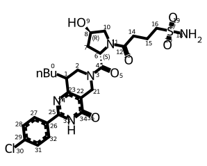 CCCCC1CN(C(=O)[C@@H]2C[C@@H](O)CN2C(=O)CCCS(N)(=O)=O)Cc2c1nc(-c1ccc(Cl)cc1)[nH]c2=O